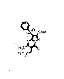 CCOC(=O)Cc1c(C)nc2c(S(=O)(=O)c3ccccc3)c(SC)nn2c1Cl